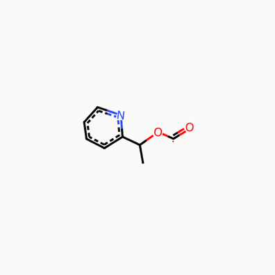 CC(O[C]=O)c1ccccn1